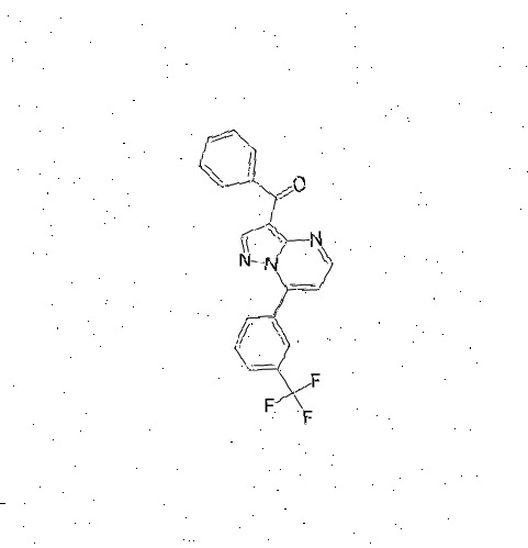 O=C(c1ccccc1)c1cnn2c(-c3cccc(C(F)(F)F)c3)ccnc12